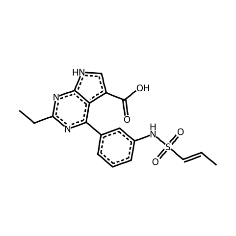 C/C=C/S(=O)(=O)Nc1cccc(-c2nc(CC)nc3[nH]cc(C(=O)O)c23)c1